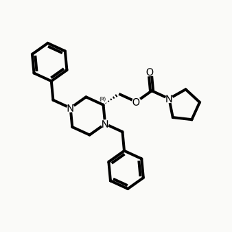 O=C(OC[C@H]1CN(Cc2ccccc2)CCN1Cc1ccccc1)N1CCCC1